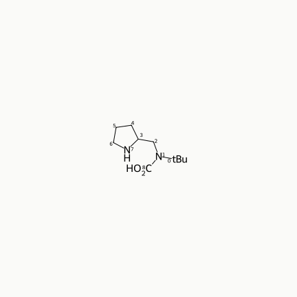 CC(C)(C)N(CC1CCCN1)C(=O)O